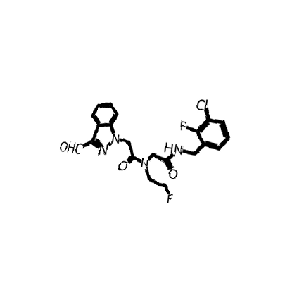 O=Cc1nn(CC(=O)N(CCF)CC(=O)NCc2cccc(Cl)c2F)c2ccccc12